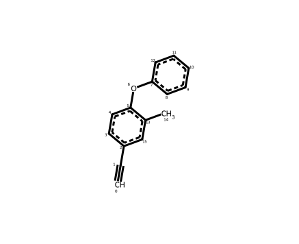 C#Cc1ccc(Oc2ccccc2)c(C)c1